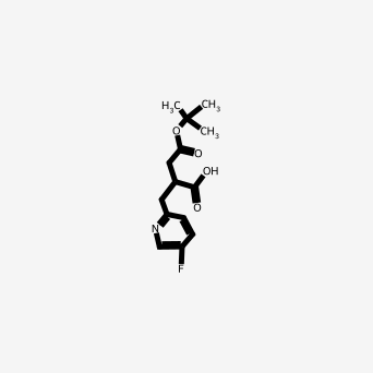 CC(C)(C)OC(=O)CC(Cc1ccc(F)cn1)C(=O)O